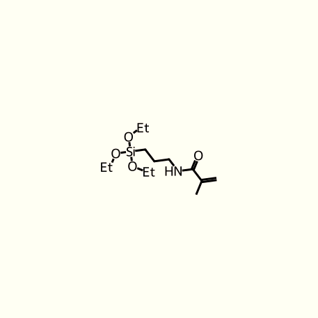 C=C(C)C(=O)NCCC[Si](OCC)(OCC)OCC